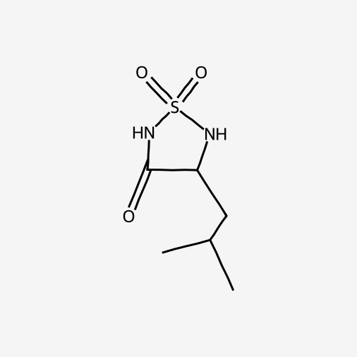 CC(C)CC1NS(=O)(=O)NC1=O